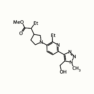 CCc1nc(-c2nnn(C)c2CO)ccc1N1CCC(C(CC)C(=O)OC)C1